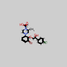 C[C@H]1CN(c2cccc(Br)c2OCC(O)c2ccc(Cl)cc2)CCN1C(=O)O